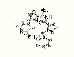 CCC(NC(=O)c1ccnn1Cc1ccccc1)c1nc(-c2ccnc(C)c2)no1